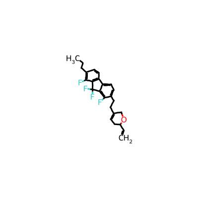 C=CC1CC=C(CCc2ccc3c(c2F)C(F)(F)c2c-3ccc(CCC)c2F)CO1